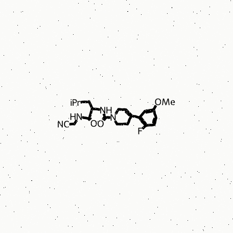 COc1ccc(F)c(C2=CCN(C(=O)NC(CC(C)C)C(=O)NCC#N)CC2)c1